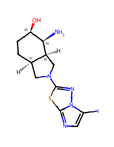 N[C@H]1[C@H]2CN(c3nn4c(I)cnc4s3)C[C@H]2CC[C@H]1O